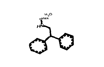 CCCCCCNCC(c1ccccc1)c1ccccc1.O